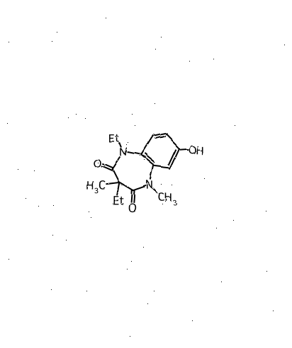 CCN1C(=O)C(C)(CC)C(=O)N(C)c2cc(O)ccc21